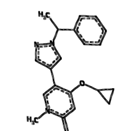 CC(c1ccccc1)n1cc(-c2cn(C)c(=O)cc2OC2CC2)cn1